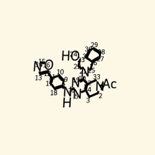 CC(=O)N1CCc2nc(Nc3ccc(-c4cnco4)cc3)nc(N(CCO)Cc3ccccc3)c2C1